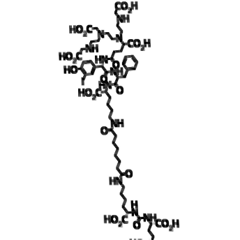 O=C(O)CC[C@H](NC(=O)N[C@@H](CCCCNC(=O)CCCCCCC(=O)NCCCCC(NC(=O)[C@H](Cc1ccccc1)NC(=O)[C@@H](NC(=O)CCC(C(=O)O)N(CCNCC(=O)O)CCN(CCNCC(=O)O)CC(=O)O)c1ccc(O)c(I)c1)C(=O)O)C(=O)O)C(=O)O